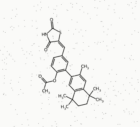 CC(=O)Oc1ccc(/C=C2/SC(=O)NC2=O)cc1-c1cc2c(cc1C)C(C)(C)CCC2(C)C